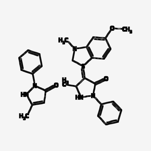 COc1ccc2c(c1)N(C)CS2=C1C(=O)N(c2ccccc2)NC1C.Cc1cc(=O)n(-c2ccccc2)[nH]1